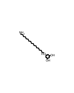 CCCCCCCCCCCCCCCCCCN.Oc1cc(O)cc(O)c1